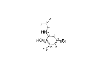 CC(C)CNc1cc(Br)cc(F)c1O